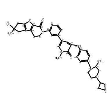 C[C@H]1CN(C2COC2)CCN1c1ccc(Nc2cc(-c3ccnc(N4CCc5c(sc6c5CC(C)(C)C6)C4=O)c3)cn(C)c2=O)nc1